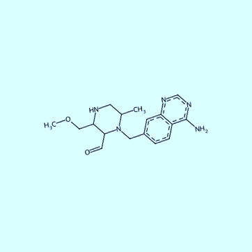 COCC1NCC(C)N(Cc2ccc3c(N)ncnc3c2)C1C=O